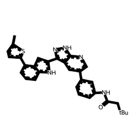 Cc1ccc(-c2cccc3[nH]c(-c4n[nH]c5ncc(-c6cccc(NC(=O)CC(C)(C)C)c6)cc45)cc23)s1